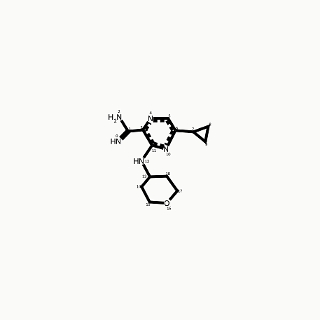 N=C(N)c1ncc(C2CC2)nc1NC1CCOCC1